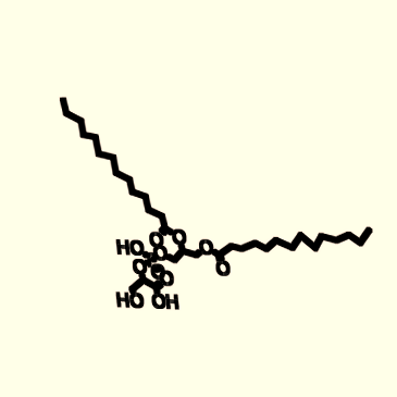 CCCCCCCCCCCCCC(=O)OCC(COP(=O)(O)OC(CO)C(=O)O)OC(=O)CCCCCCCCCCCCC